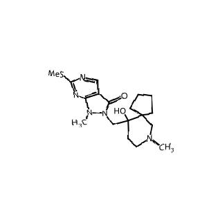 CSc1ncc2c(=O)n(CC3(O)CCN(C)CC34CCCC4)n(C)c2n1